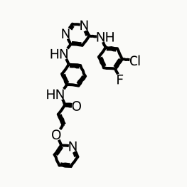 O=C(/C=C/Oc1ccccn1)Nc1cccc(Nc2cc(Nc3ccc(F)c(Cl)c3)ncn2)c1